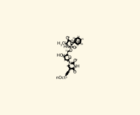 CCCCCCCCC#Cc1cn([C@H]2C[C@@H](O)[C@@H](COP(=O)(N[C@@H](C)C(=O)OC)Oc3ccccc3)O2)c(=O)[nH]c1=O